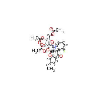 CCc1ccc(C(=O)c2cn([C@@H]3O[C@H](COC(C)=O)[C@@H](OC(C)=O)[C@H](OC(C)=O)[C@H]3OC(C)=O)c3cccc(F)c23)cc1